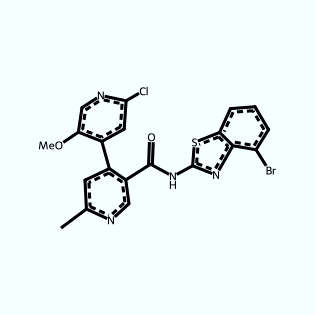 COc1cnc(Cl)cc1-c1cc(C)ncc1C(=O)Nc1nc2c(Br)cccc2s1